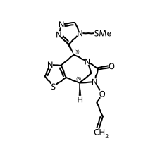 C=CCON1C(=O)N2C[C@H]1c1scnc1[C@H]2c1nncn1SC